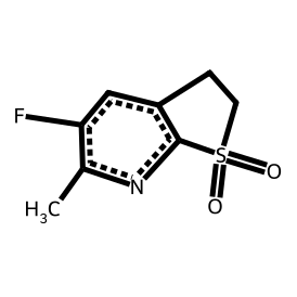 Cc1nc2c(cc1F)CCS2(=O)=O